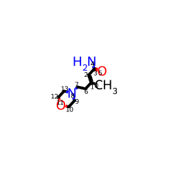 CC(=CC(N)=O)CCN1CCOCC1